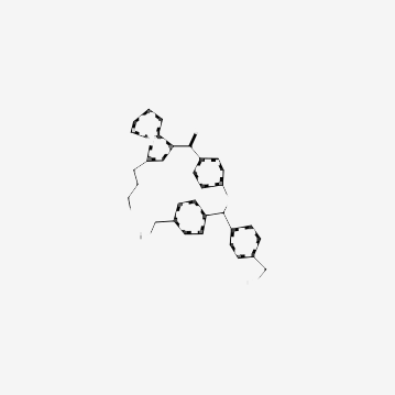 CCOC(=O)CCCc1cc(C(=O)c2ccc(OC(c3ccc(CC(C)C)cc3)c3ccc(CC(C)C)cc3)cc2)c2ccccn12